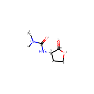 CC(C)N(C)C(=O)N[C@H]1CCOC1=O